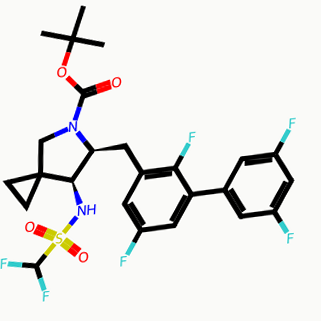 CC(C)(C)OC(=O)N1CC2(CC2)[C@H](NS(=O)(=O)C(F)F)[C@@H]1Cc1cc(F)cc(-c2cc(F)cc(F)c2)c1F